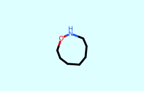 C1CCCNOCCC1